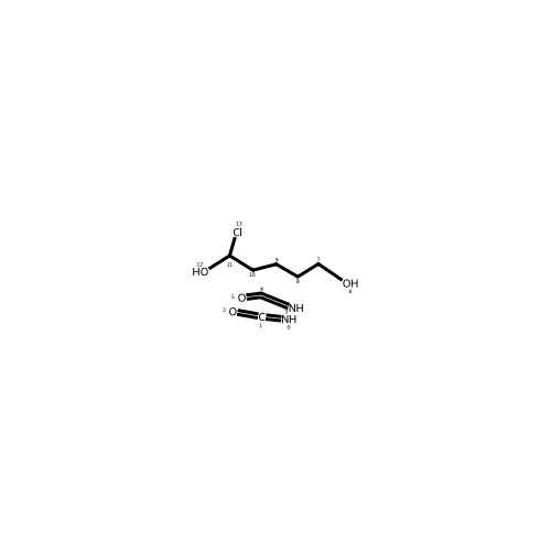 N=C=O.N=C=O.OCCCCC(O)Cl